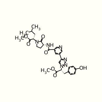 COC(=O)[C@@H](Cc1ccc(O)cc1)n1cc(-c2cncc(C(=O)N[C@@H]3CCN([C@@H](CC(C)C)C(=O)OC)C3=O)c2)nn1